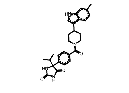 Cc1ccc2c(C3CCN(C(=O)c4ccc([C@@]5(C(C)C)NC(=O)NC5=O)cc4)CC3)c[nH]c2c1